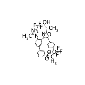 Cc1nc(C(F)(F)F)cn1-c1ccc(-c2cccc(S(C)(=O)=O)c2)cc1-c1nc(C(C)CO)oc1-c1ccc(OC(F)(F)F)cc1